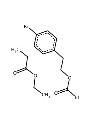 CCC(=O)OCCc1ccc(Br)cc1.CCOC(=O)CC